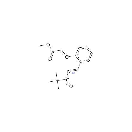 COC(=O)COc1ccccc1/C=N/[S@+]([O-])C(C)(C)C